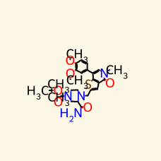 COc1ccc(-c2cn(C)c(=O)c3cc(CN4CCN(C(=O)OC(C)(C)C)CC4C(N)=O)sc23)cc1OC